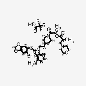 CC(CN1CCOCC1)C(=O)O[C@@H](C)C(=O)N1CCC(CCn2c(Sc3cc4c(cc3Br)OCO4)nc3c(N)ncnc32)CC1.O=C(O)C(F)(F)F